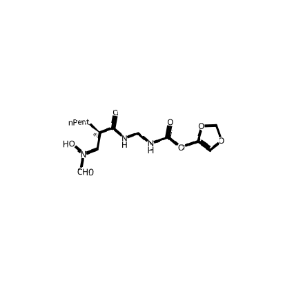 CCCCC[C@H](CN(O)C=O)C(=O)NCNC(=O)OC1=COCO1